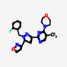 Fc1ccccc1Cn1nc(-c2ncc(C(F)(F)F)c(N3CCOCC3)n2)cc1-c1ccon1